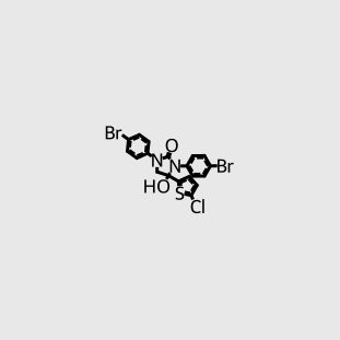 O=C1N(c2ccc(Br)cc2)CC(O)(c2ccc(Cl)s2)N1c1ccc(Br)cc1